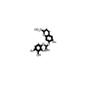 CCCCC(Oc1cc2c(cc1C(C)=O)CCC(C(=O)O)O2)Oc1ccc(C(C)=O)c(O)c1CCC